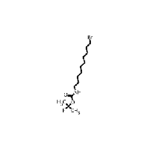 CC(C)(F)OC(=O)NCCCCCCCCCCBr